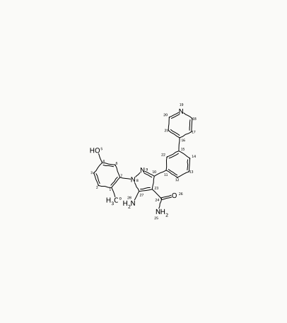 Cc1ccc(O)cc1-n1nc(-c2cccc(-c3ccncc3)c2)c(C(N)=O)c1N